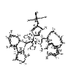 CC(C)(C)C1=C[CH]([Zr]([Cl])([Cl])([CH](Cc2ccccc2)Cc2ccccc2)[CH]2c3ccccc3-c3ccccc32)C=C1